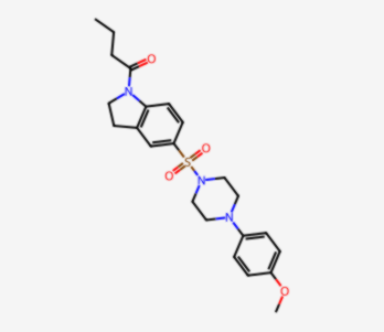 CCCC(=O)N1CCc2cc(S(=O)(=O)N3CCN(c4ccc(OC)cc4)CC3)ccc21